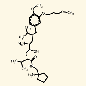 COCCCOc1cc(C[C@@H](C[C@H](N)[C@@H](O)C[C@H](C(=O)NCC2(N)CCCC2)C(C)C)C(C)C)ccc1OC